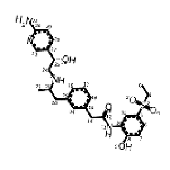 CCS(=O)(=O)c1ccc(O)c(NC(=O)Cc2cccc(C[C@@H](C)NC[C@@H](O)c3ccc(N)nc3)c2)c1